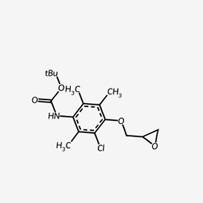 Cc1c(C)c(OCC2CO2)c(Cl)c(C)c1NC(=O)OC(C)(C)C